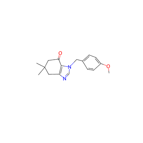 COc1ccc(Cn2cnc3c2C(=O)CC(C)(C)C3)cc1